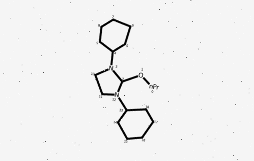 CCCOC1N(C2CCCCC2)CCN1C1CCCCC1